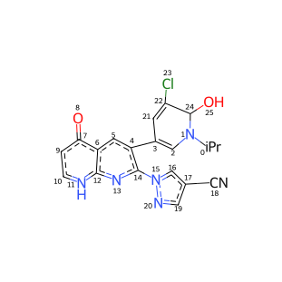 CC(C)N1C=C(c2cc3c(=O)cc[nH]c3nc2-n2cc(C#N)cn2)C=C(Cl)C1O